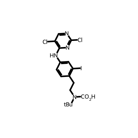 CC(C)(C)N(CCc1ccc(Nc2nc(Cl)ncc2Cl)cc1I)C(=O)O